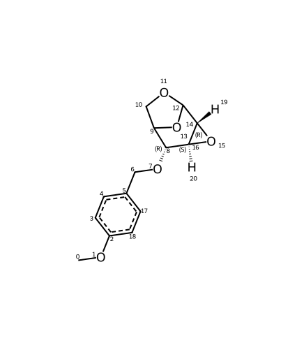 COc1ccc(CO[C@@H]2C3COC(O3)[C@@H]3O[C@@H]23)cc1